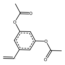 C=[C]c1cc(OC(C)=O)cc(OC(C)=O)c1